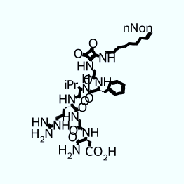 CCCCCCCCC/C=C\CCCCCCCNc1c(NCC(=O)N[C@H](Cc2ccccc2)C(=O)NC(C(=O)N[C@@H](CCCNC(=N)N)C(=O)NCC(=O)N[C@@H](CC(=O)O)C(N)=O)C(C)C)c(=O)c1=O